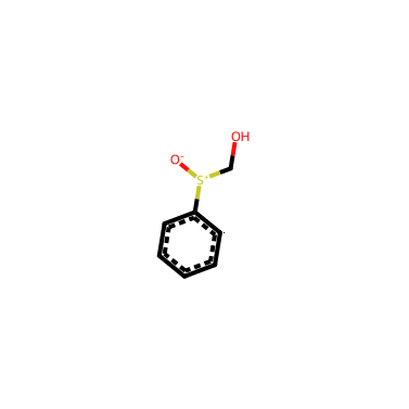 [O-][S+](CO)c1[c]cccc1